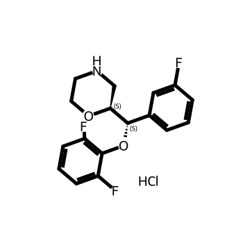 Cl.Fc1cccc([C@H](Oc2c(F)cccc2F)[C@@H]2CNCCO2)c1